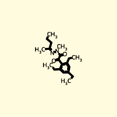 CCCC(C)=NN(C)C(=O)C(=O)c1c(CC)cc(CC)cc1CC